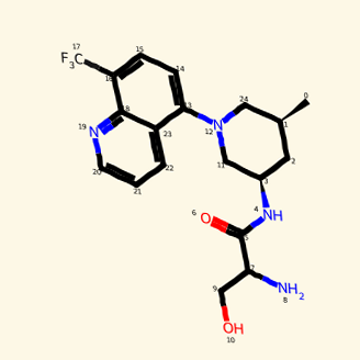 C[C@H]1C[C@@H](NC(=O)C(N)CO)CN(c2ccc(C(F)(F)F)c3ncccc23)C1